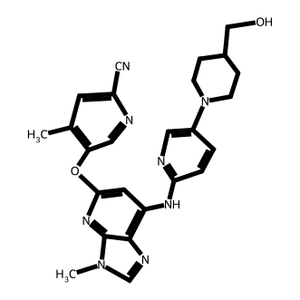 Cc1cc(C#N)ncc1Oc1cc(Nc2ccc(N3CCC(CO)CC3)cn2)c2ncn(C)c2n1